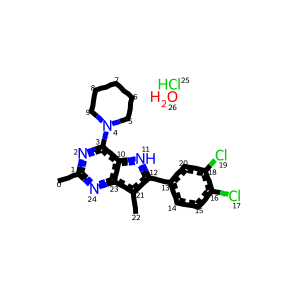 Cc1nc(N2CCCCC2)c2[nH]c(-c3ccc(Cl)c(Cl)c3)c(C)c2n1.Cl.O